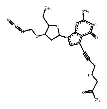 [N-]=[N+]=NCO[C@@H]1CC(n2cc(C#CCNCC(=O)C(F)(F)F)c3c(=O)[nH]c(N)nc32)OC1CO